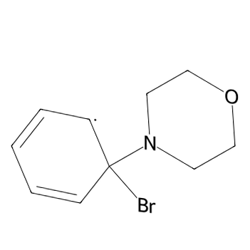 BrC1(N2CCOCC2)[CH]C=CC=C1